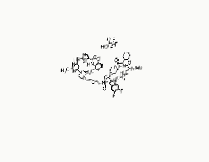 CNC(C)C(=O)NC(C(=O)N1CCN(C(=O)c2c(C(=O)NCCOCCN3CCN(c4cc(Nc5ncc(C(=O)Nc6c(C)cccc6Cl)s5)nc(C)n4)CC3)c3cc(F)c(F)cc3n2C)CC1)C1CCCCC1.O=C(O)C(F)(F)F